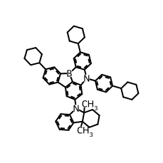 CC12CCCCC1(C)N(c1cc3c4c(c1)N(c1ccc(C5CCCCC5)cc1)c1ccc(C5CCCCC5)cc1B4c1cc(C4CCCCC4)ccc1-3)c1ccccc12